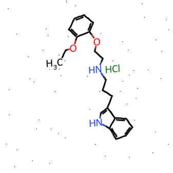 CCOc1ccccc1OCCNCCCc1c[nH]c2ccccc12.Cl